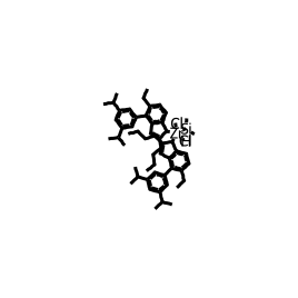 CCCCC1=Cc2c(ccc(CC)c2-c2cc(C(C)C)cc(C(C)C)c2)[CH]1[Zr]([Cl])([Cl])([CH]1C(CCCC)=Cc2c1ccc(CC)c2-c1cc(C(C)C)cc(C(C)C)c1)[SiH](C)C